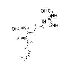 C=CCOC(=O)C(CCCNC(=N)NC=O)N=C=O